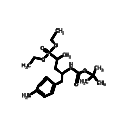 CCOP(=O)(OCC)C(C)C[C@H](Cc1ccc(N)cc1)NC(=O)OC(C)(C)C